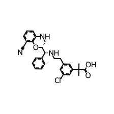 CC(C)(C(=O)O)c1cc(Cl)cc(CCN[C@H](c2ccccc2)[C@H]2CNc3cccc(C#N)c3O2)c1